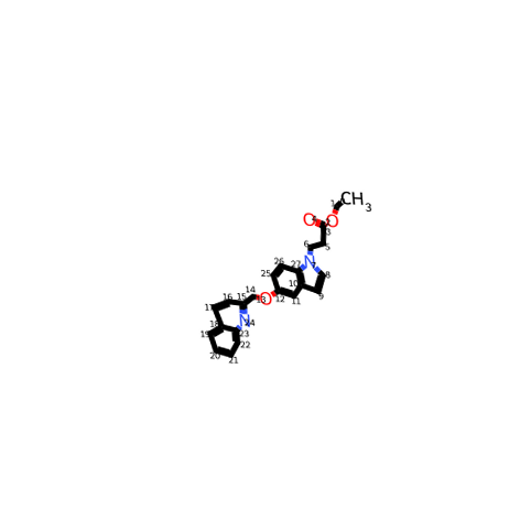 CCOC(=O)CCn1ccc2cc(OCc3ccc4ccccc4n3)ccc21